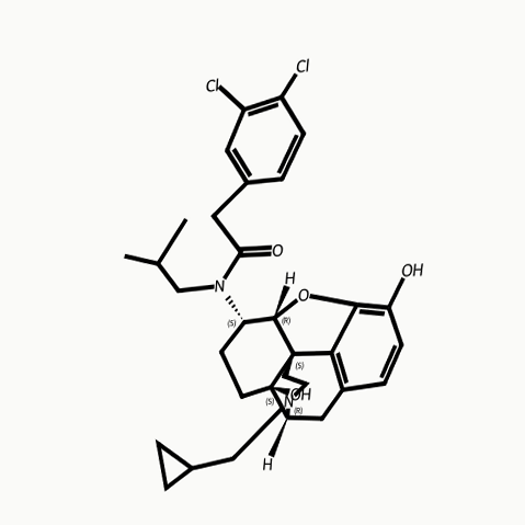 CC(C)CN(C(=O)Cc1ccc(Cl)c(Cl)c1)[C@H]1CC[C@@]2(O)[C@H]3Cc4ccc(O)c5c4[C@@]2(CCN3CC2CC2)[C@H]1O5